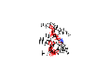 CC(C)(C)c1ccc(CCOc2ncnc3ccccc23)cc1.CC1=C[C@H]2C(=O)O[C@H]3C[C@@H](C/C=C(\C)C[C@@H](C)/C=C/C=C4\CO[C@H]([C@@H]1O)[C@@]42O)O[C@@]1(CC[C@H](C)[C@@H](C)O1)C3.CC[C@H]1O[C@]2(CC[C@@H]1C)C[C@@H]1C[C@@H](C/C=C(\C)C[C@@H](C)/C=C/C=C3\CO[C@@H]4[C@H](O)C(C)=C[C@@H](C(=O)O1)[C@]34O)O2